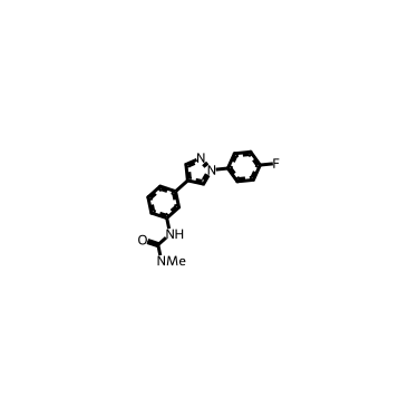 CNC(=O)Nc1cccc(-c2cnn(-c3ccc(F)cc3)c2)c1